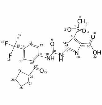 CS(=O)(=O)c1sc(NC(=O)Nc2ccc(C(F)(F)F)cc2C(=O)C2CCCC2)nc1C(=O)O